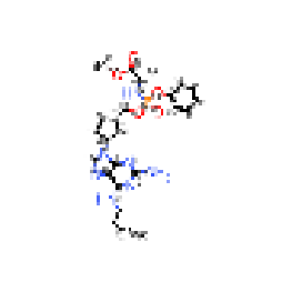 COCCNc1nc(N)nc2c1ncn2[C@H]1C=C[C@@H](CO[P@@](=O)(N[C@@H](C)C(=O)OC(C)C)Oc2ccccc2)C1